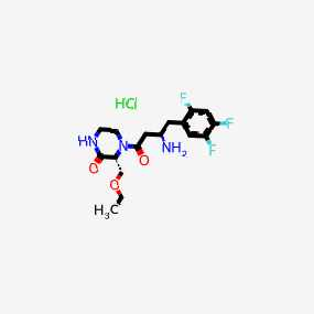 CCOC[C@@H]1C(=O)NCCN1C(=O)C[C@H](N)Cc1cc(F)c(F)cc1F.Cl